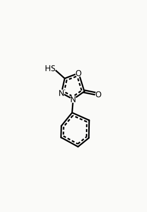 O=c1oc(S)nn1-c1ccccc1